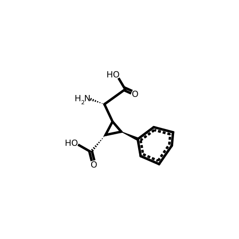 N[C@H](C(=O)O)C1[C@@H](C(=O)O)[C@@H]1c1ccccc1